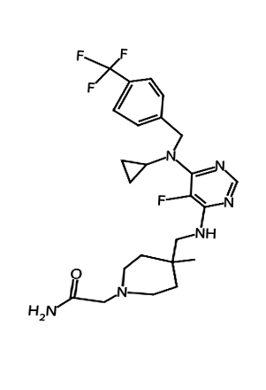 CC1(CNc2ncnc(N(Cc3ccc(C(F)(F)F)cc3)C3CC3)c2F)CCN(CC(N)=O)CC1